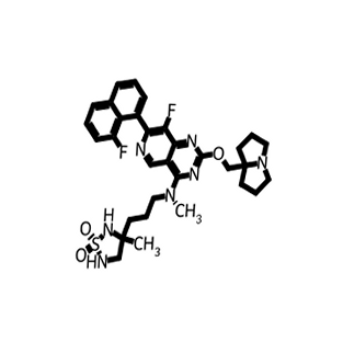 CN(CCCC1(C)CNS(=O)(=O)N1)c1nc(OCC23CCCN2CCC3)nc2c(F)c(-c3cccc4cccc(F)c34)ncc12